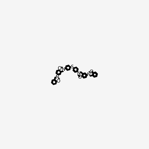 C1=CC2=C(CC1)OCN(C1=CC3CN(C4=CCC(SC5C=CC(N6COc7ccc(N8COc9ccccc9C8)cc7C6)=CC5)C=C4)COC3C=C1)C2